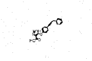 O=C(O)c1nn[nH]c1Oc1ccc(C#CCc2ccccc2)cc1